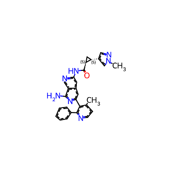 Cc1ccnc(-c2ccccc2)c1-c1cc2cc(NC(=O)[C@H]3C[C@@H]3c3cnn(C)c3)ncc2c(N)n1